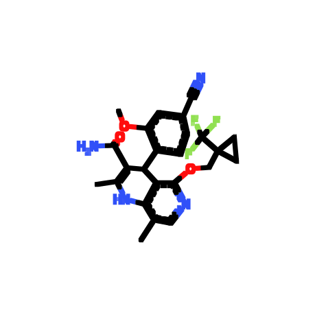 COc1cc(C#N)ccc1C1C(C(N)=O)=C(C)Nc2c(C)cnc(OCC3(C(F)(F)F)CC3)c21